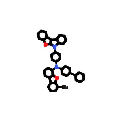 CC(C)(C)c1cccc2c1oc1c(N(c3ccc(-c4ccccc4)cc3)c3ccc(-n4c5ccccc5c5c6ccccc6oc54)cc3)cccc12